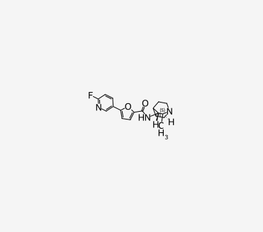 C[C@H]1[C@H](NC(=O)c2ccc(-c3ccc(F)nc3)o2)C2CCN1CC2